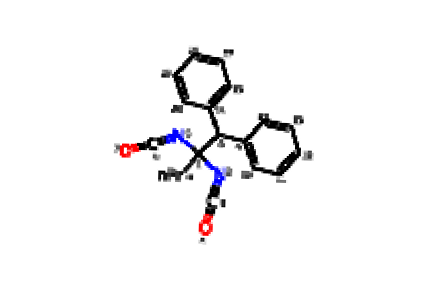 CCCC(N=C=O)(N=C=O)C(c1ccccc1)c1ccccc1